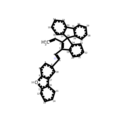 C=CC1=C(/C=C/c2ccc3oc4ccccc4c3c2)c2ccccc2C12c1ccccc1-c1ccccc12